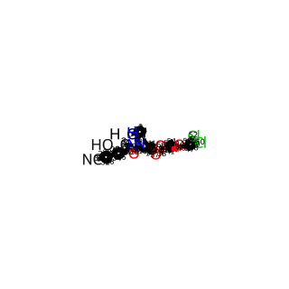 Cc1ccccc1CN1Cc2cc3c(cc2C[C@H]1C(=O)NC(Cc1ccc(-c2ccc(C#N)cc2)cc1)C(=O)O)OC[C@H](c1ccc(OCc2ccc(Cl)c(Cl)c2)cc1)O3